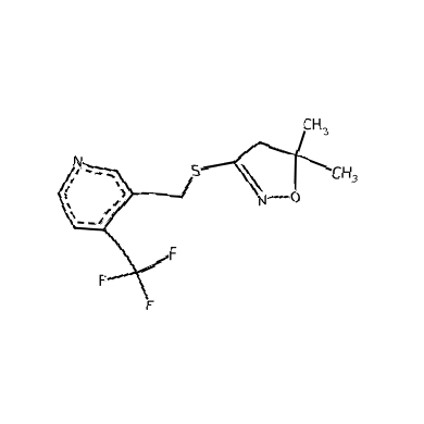 CC1(C)CC(SCc2cnccc2C(F)(F)F)=NO1